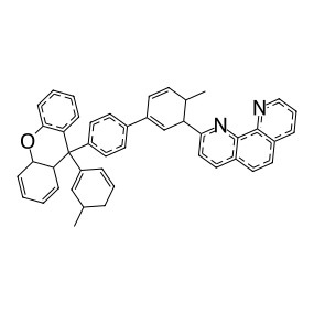 CC1C=C(C2(c3ccc(C4=CC(c5ccc6ccc7cccnc7c6n5)C(C)C=C4)cc3)c3ccccc3OC3C=CC=CC32)C=CC1